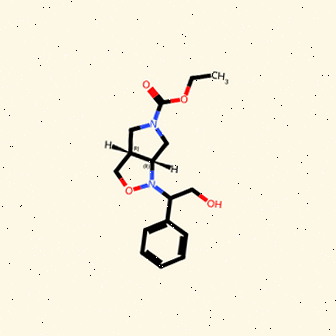 CCOC(=O)N1C[C@H]2CON(C(CO)c3ccccc3)[C@H]2C1